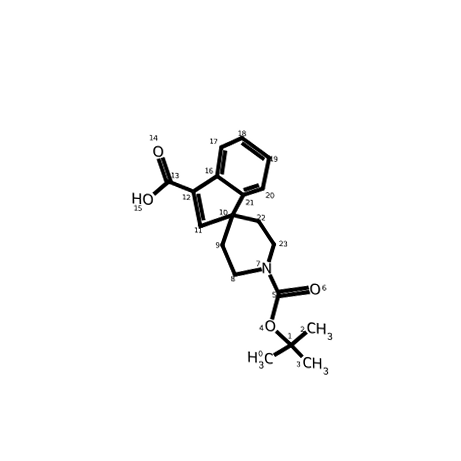 CC(C)(C)OC(=O)N1CCC2(C=C(C(=O)O)c3ccccc32)CC1